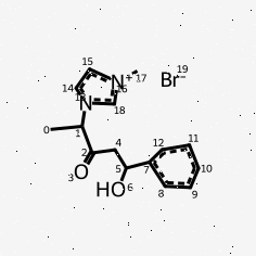 CC(C(=O)CC(O)c1ccccc1)n1cc[n+](C)c1.[Br-]